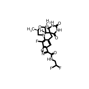 C[C@@H]1CN2c3c(cc4c(C(=O)NCC(F)F)noc4c3F)CC3(C(=O)NC(=O)NC3=O)[C@H]2[C@H](C)O1